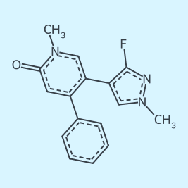 Cn1cc(-c2cn(C)c(=O)cc2-c2ccccc2)c(F)n1